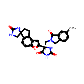 COc1ccc2c(c1)C(=O)N(C[C@@]1(c3cc4c5c(ccc4o3)C3(CC5)CNC(=O)N3)NC(=O)NC1=O)C2